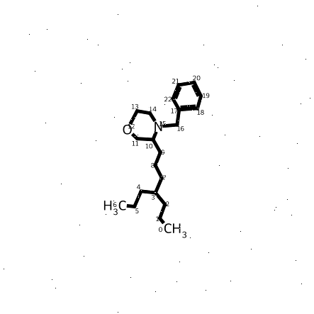 CCCC(CCC)CCCC1COCCN1Cc1ccccc1